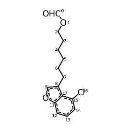 O=COCCCCCCc1coc2cccc(Cl)c12